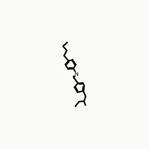 CCCCc1ccc(N=Cc2ccc(CC(C)CC)cc2)cc1